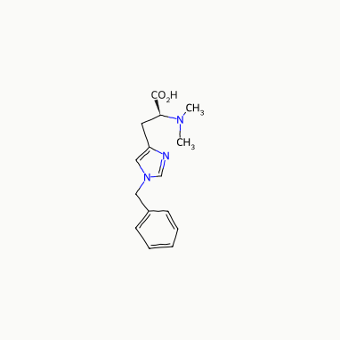 CN(C)[C@@H](Cc1cn(Cc2ccccc2)cn1)C(=O)O